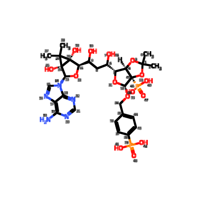 CC1(C)O[C@@H]2[C@@H](C(O)CC(O)[C@H]3O[C@@H](n4cnc5c(N)ncnc54)[C@@]4(O)C(C)(C)[C@@]34O)O[C@@H](OCc3ccc(P(=O)(O)O)cc3)[C@]2(P(=O)(O)O)O1